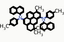 Cc1ccc(N(c2cccc3ccccc23)c2cc(C)c3ccc4c(N(c5ccc(C)cc5)c5cccc6ccccc56)cc5c6c(cc2c3c46)C(C)(C)CC5)cc1